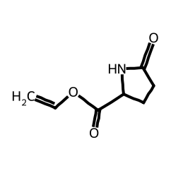 C=COC(=O)C1CCC(=O)N1